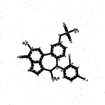 Cn1cc2c3c(c[nH]c3c1=O)C(C(=O)O)N(c1ccc(F)cc1F)c1ccc(CS(C)(=O)=O)cc1-2